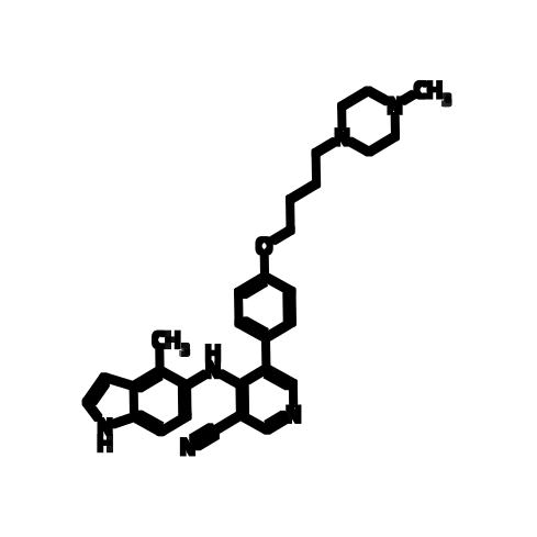 Cc1c(Nc2c(C#N)cncc2-c2ccc(OCCCCN3CCN(C)CC3)cc2)ccc2[nH]ccc12